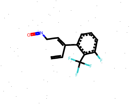 C=C/C(=C\CN=O)c1cccc(F)c1C(F)(F)F